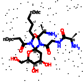 CCCCCCCCCCCCCCN(C(=O)CCCCCCCCCCC)[C@@]1(N(C(=O)CNC(=O)[C@H](C)N)C(=O)[C@H](C)N)C[C@@H](O)[C@H](O)[C@@H](CO)O1